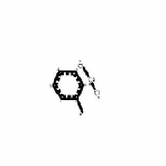 Cc1ccccc1.[Cl][Ca][Cl]